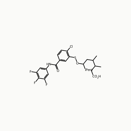 CCCC(C)C(CC(C)C(C)CC(=O)O)OSc1cc(C(=O)Nc2cc(F)c(F)c(F)c2)ccc1Cl